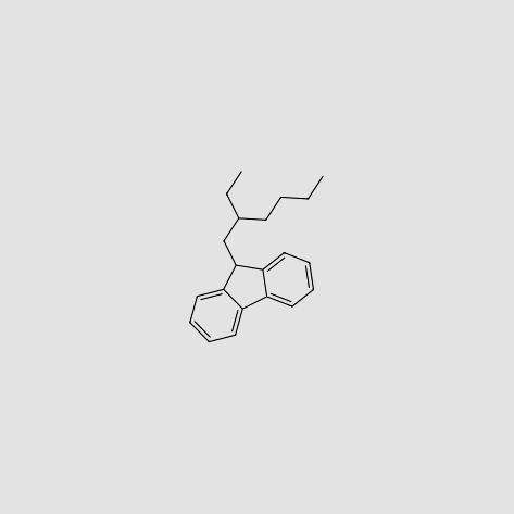 CCCCC(CC)CC1c2ccccc2-c2ccccc21